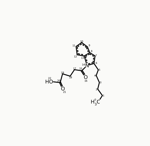 CCCCCCc1cc2ccccc2n1C(=O)CCCC(=O)O